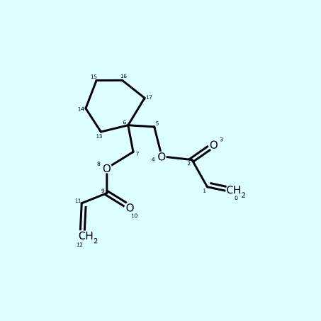 C=CC(=O)OCC1(COC(=O)C=C)CCCCC1